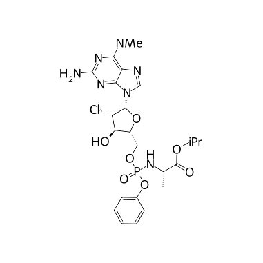 CNc1nc(N)nc2c1ncn2[C@@H]1O[C@H](COP(=O)(N[C@@H](C)C(=O)OC(C)C)Oc2ccccc2)[C@@H](O)[C@@H]1Cl